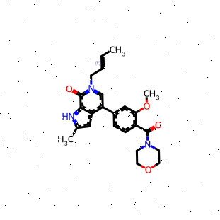 C/C=C/Cn1cc(-c2ccc(C(=O)N3CCOCC3)c(OC)c2)c2cc(C)[nH]c2c1=O